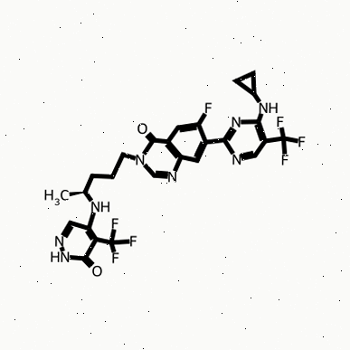 C[C@@H](CCCn1cnc2cc(-c3ncc(C(F)(F)F)c(NC4CC4)n3)c(F)cc2c1=O)Nc1cn[nH]c(=O)c1C(F)(F)F